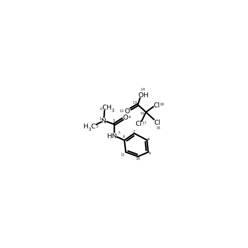 CN(C)C(=O)Nc1ccccc1.O=C(O)C(Cl)(Cl)Cl